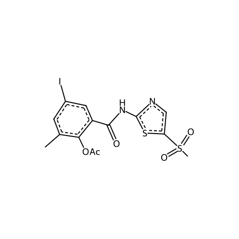 CC(=O)Oc1c(C)cc(I)cc1C(=O)Nc1ncc(S(C)(=O)=O)s1